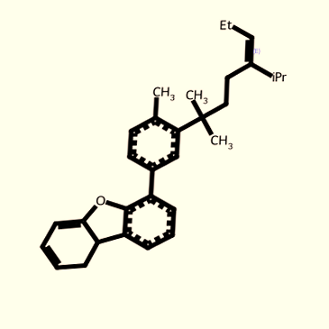 CC/C=C(\CCC(C)(C)c1cc(-c2cccc3c2OC2=CC=CCC23)ccc1C)C(C)C